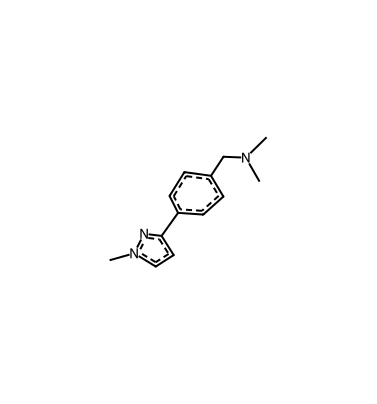 CN(C)Cc1ccc(-c2ccn(C)n2)cc1